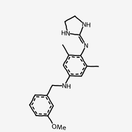 COc1cccc(CNc2cc(C)c(N=C3NCCN3)c(C)c2)c1